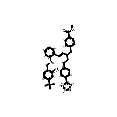 COC(=O)c1ccc(CC(C=Cc2ccccc2OCc2ccc(C(C)(C)C)cc2Cl)CCc2ccc(-c3nnn[nH]3)cc2)cc1